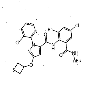 CCCCNC(=O)c1cc(Cl)cc(Br)c1NC(=O)c1cc(OC2CSC2)nn1-c1ncccc1Cl